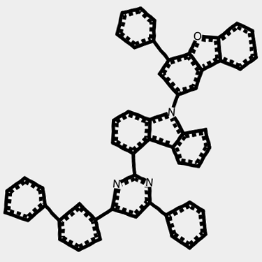 c1ccc(-c2cccc(-c3cc(-c4ccccc4)nc(-c4cccc5c4c4ccccc4n5-c4cc(-c5ccccc5)c5oc6ccccc6c5c4)n3)c2)cc1